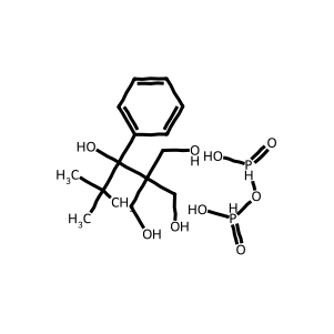 CC(C)(C)C(O)(c1ccccc1)C(CO)(CO)CO.O=[PH](O)O[PH](=O)O